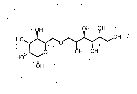 OC[C@@H](O)[C@@H](O)[C@H](O)[C@@H](O)COC[C@H]1O[C@H](O)[C@H](O)[C@@H](O)[C@H]1O